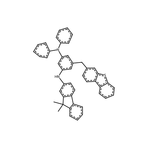 CC1(C)c2ccccc2-c2ccc(Nc3cc(Cc4ccc5c(c4)sc4ccccc45)cc(N(c4ccccc4)c4ccccc4)c3)cc21